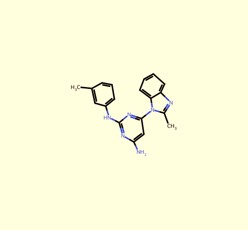 Cc1cccc(Nc2nc(N)cc(-n3c(C)nc4ccccc43)n2)c1